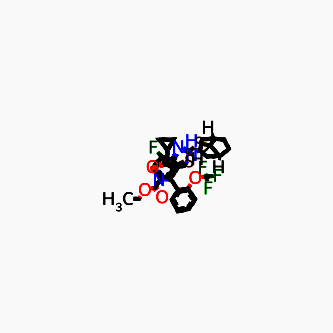 CCOC(=O)c1cc(F)c2nc(S[C@H]3[C@@H]4CC[C@H]3C[C@H](NCc3c(-c5ccccc5OC(F)(F)F)noc3C3CC3)C4)sc2c1